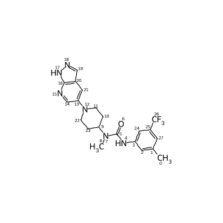 Cc1cc(NC(=O)N(C)C2CCN(c3cnc4[nH]ncc4c3)CC2)cc(C(F)(F)F)c1